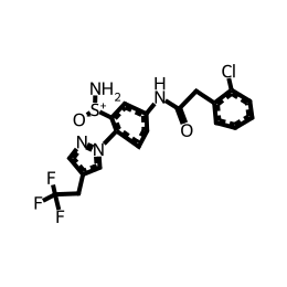 N[S+]([O-])c1cc(NC(=O)Cc2ccccc2Cl)ccc1-n1cc(CC(F)(F)F)cn1